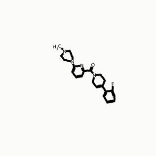 CN1CCN(c2cccc(C(=O)N3CC=C(c4ccccc4F)CC3)n2)CC1